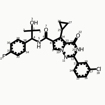 CC(C)(O)C(NC(=O)c1cn2nc(-c3cccc(Cl)c3)[nH]c(=O)c2c1C1CC1)c1ccc(F)cc1